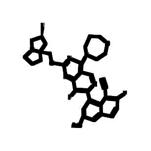 C#Cc1c(F)ccc2cc(OC(C)=O)cc(-c3ncc4c(N5CCCOCC5)nc(OC[C@@]56CCCN5C[C@H](F)C6)nc4c3F)c12